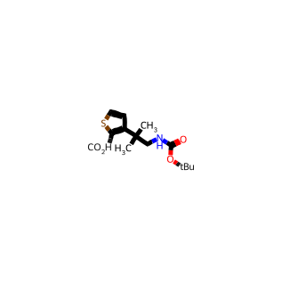 CC(C)(C)OC(=O)NCC(C)(C)c1ccsc1C(=O)O